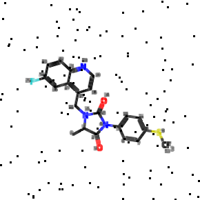 CC1C(=O)N(c2ccc(SC(F)(F)F)cc2)C(=O)N1Cc1ccnc2ccc(F)cc12